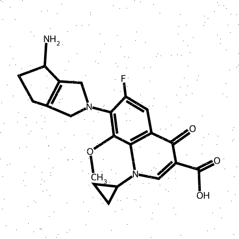 COc1c(N2CC3=C(C2)C(N)CC3)c(F)cc2c(=O)c(C(=O)O)cn(C3CC3)c12